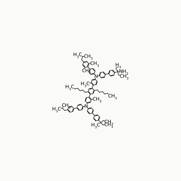 CCCCCCc1cc(-c2ccc(N(c3ccc(-c4ccc(C(C)(N)CC)cc4)cc3)c3ccc(-c4c(C)cc(CC(C)C)cc4C)cc3)cc2C)c(CCCCCC)cc1-c1ccc(N(c2ccc(-c3ccc(CC(C)C)cc3)cc2)c2ccc(-c3ccc(C(C)(CC)CC)cc3)cc2)cc1C